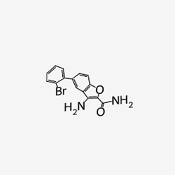 NC(=O)c1oc2ccc(-c3ccccc3Br)cc2c1N